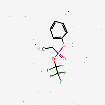 CCP(=O)(Oc1ccccc1)OC(F)(F)C(F)(F)F